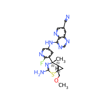 COC[C@]12C[C@H]1[C@@](C)(c1cc(Nc3ncnc4cc(C#N)cnc34)cnc1F)N=C(N)S2